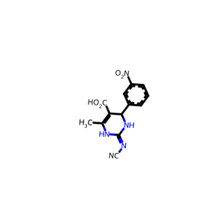 CC1=C(C(=O)O)C(c2cccc([N+](=O)[O-])c2)N/C(=N/C#N)N1